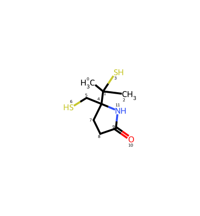 CC(C)(S)C1(CS)CCC(=O)N1